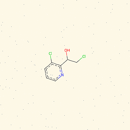 OC(CCl)c1ncccc1Cl